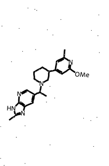 COc1cc(C2CCCN(C(C)c3cnc4[nH]c(C)nc4c3)C2)cc(C)n1